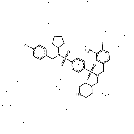 Cc1ccc(CN(CC2CCNCC2)S(=O)(=O)c2ccc(S(=O)(=O)N(Cc3ccc(Cl)cc3)C3CCCC3)cc2)cc1N